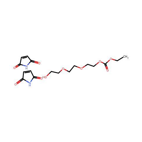 CCOC(=O)OCCOCCOCCO.O=C1C=CC(=O)N1.O=C1C=CC(=O)N1